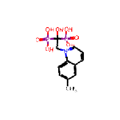 Cc1ccc2c(ccc[n+]2CC(O)(P(=O)(O)O)P(=O)(O)O)c1